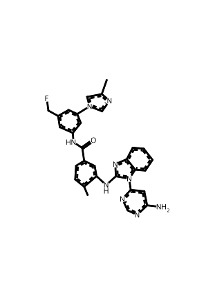 Cc1cn(-c2cc(CF)cc(NC(=O)c3ccc(C)c(Nc4nc5ccccc5n4-c4cc(N)ncn4)c3)c2)cn1